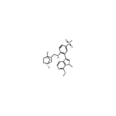 COc1nccc2c(-c3cc(S(C)(=O)=O)ccc3NCC3C[C@H]4CC[C@H]3C4)cn(C)c12